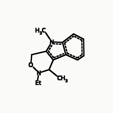 CCN1OCc2c(c3ccccc3n2C)C1C